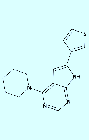 c1nc(N2CCCCC2)c2cc(-c3ccsc3)[nH]c2n1